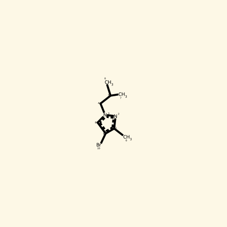 Cc1nn(CC(C)C)cc1Br